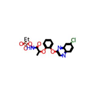 CCS(=O)(=O)ONC(=O)C(C)Oc1ccccc1Oc1cnc2ccc(Cl)cc2n1